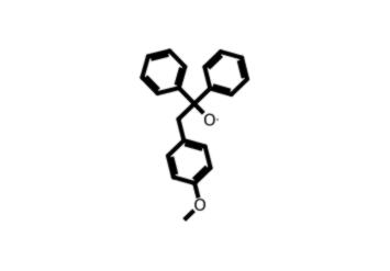 COc1ccc(CC([O])(c2ccccc2)c2ccccc2)cc1